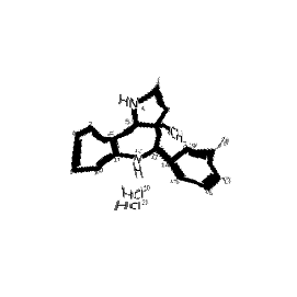 CC12CCNC1c1ccccc1NC2c1ccccc1.Cl.Cl